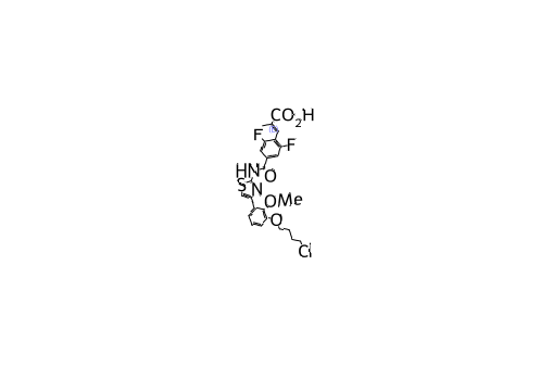 COc1c(OCCCCCl)cccc1-c1csc(NC(=O)c2cc(F)c(/C=C(\C)C(=O)O)c(F)c2)n1